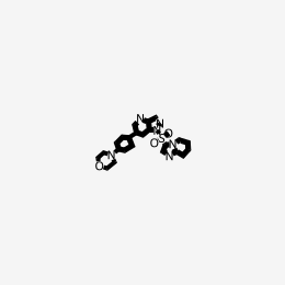 O=S(=O)(c1cnc2ccccn12)n1ncc2ncc(-c3ccc(N4CCOCC4)cc3)cc21